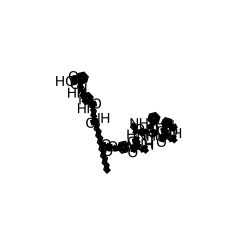 C=CCCCCCCC(CCCCCCC(=O)NCCNC(=O)c1ccc(NN=Cc2ccccc2S(=O)(=O)O)nc1)OC(=O)OCc1ccc(NC(=O)[C@H](CC(C)C)NC(=O)[C@H](CCCN)NC(=O)[C@H](CCc2ccccc2)NC(=O)CNC(=O)[C@H](CC(C)C)NC(=O)[C@@H]2CCCN2C(C)=O)cc1